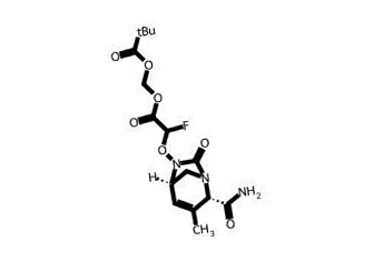 CC1=C[C@@H]2CN(C(=O)N2OC(F)C(=O)OCOC(=O)C(C)(C)C)[C@@H]1C(N)=O